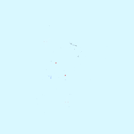 c1ccc(N(c2ccc3c(c2)[Si]2(c4ccccc4O3)c3ccccc3[Si](c3ccccc3)(c3ccccc3)c3ccccc32)c2cccc3oc4ccccc4c23)cc1